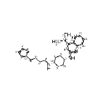 CN(C)c1nc(N[C@H]2CC[C@@H](NCCCCc3cccs3)CC2)nc2ccccc12